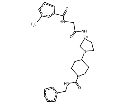 O=C(CNC(=O)c1cccc(C(F)(F)F)c1)N[C@@H]1CCN(C2CCN(C(=O)NCc3ccccc3)CC2)C1